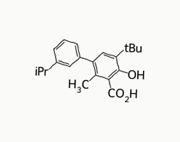 Cc1c(-c2cccc(C(C)C)c2)cc(C(C)(C)C)c(O)c1C(=O)O